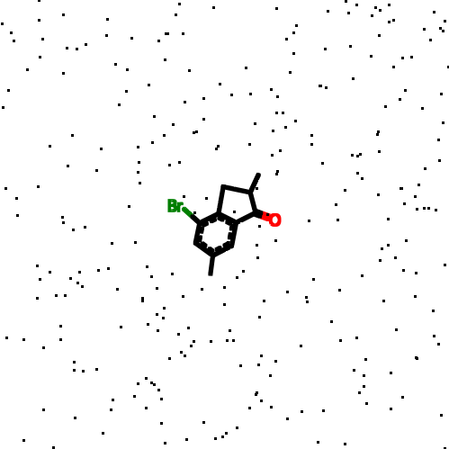 Cc1cc(Br)c2c(c1)C(=O)C(C)C2